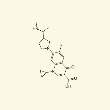 CNC(C)C1CCN(c2cc3c(cc2F)c(=O)c(C(=O)O)cn3C2CC2)C1